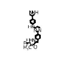 CN(CC(F)(F)F)C(=O)c1cc2ccc(-c3nccc(Nc4ccc(-c5cn[nH]c5)cc4)n3)cc2[nH]1